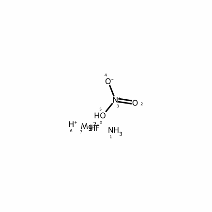 F.N.O=[N+]([O-])O.[H+].[Mg+2]